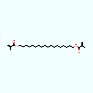 C=C(C)C(=O)OCCCCCCCCCCCCCCCCCCOC(=O)C(=C)C